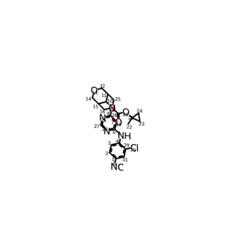 [C-]#[N+]c1ccc(Nc2cc(OC3C4COCC3CN(C(=O)OC3(C)CC3)C4)ncn2)c(Cl)c1